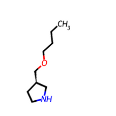 CCCCOC[C@@H]1CCNC1